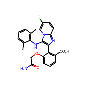 Cc1cccc(C)c1Nc1c(-c2c(OCC(N)=O)cccc2C(=O)O)nc2ccc(F)cn12